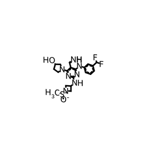 C[S+]([O-])N1CC(Nc2nc(Nc3cccc(C(F)F)c3)c(C=N)c(N3CCC(O)C3)n2)C1